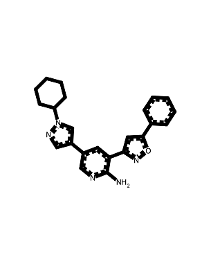 Nc1ncc(-c2cnn(C3CCCCC3)c2)cc1-c1cc(-c2ccccc2)on1